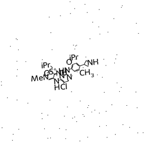 CN/C=C(/Nc1nc(Nc2cc(C)c(C3CNC3)cc2OC(C)C)ncc1Cl)C(=N)[S+]([O-])CC(C)C